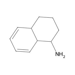 NC1CCCC2C=CC=CC12